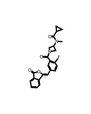 CN(C(=O)C1CC1)C1CN(C(=O)c2cc(/C=C3\OC(=O)c4ccccc43)ccc2F)C1